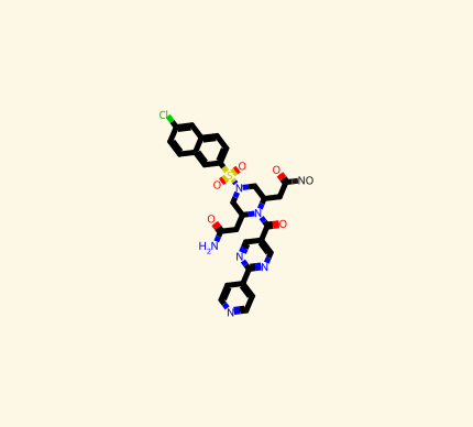 NC(=O)CC1CN(S(=O)(=O)c2ccc3cc(Cl)ccc3c2)CC(CC(=O)N=O)N1C(=O)c1cnc(-c2ccncc2)nc1